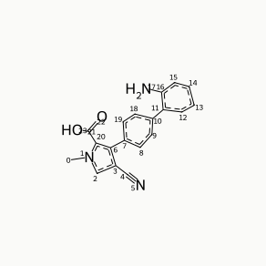 Cn1cc(C#N)c(-c2ccc(-c3ccccc3N)cc2)c1C(=O)O